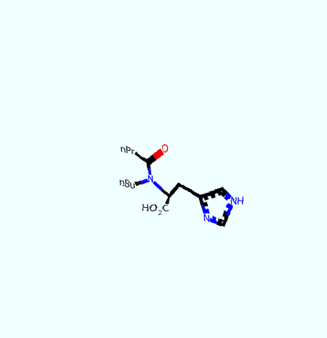 CCCCN(C(=O)CCC)[C@@H](Cc1c[nH]cn1)C(=O)O